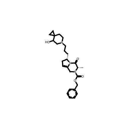 C[C@H]1C(=O)N2C(=CC[C@@H]2CCCN2CCC3(CC3)C(O)C2)CN1C(=O)OCc1ccccc1